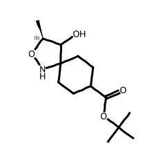 C[C@@H]1ONC2(CCC(C(=O)OC(C)(C)C)CC2)C1O